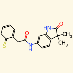 CC1(C)C(=O)Nc2cc(NC(=O)CC3=CC=CCC3=S)ccc21